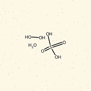 O.O=S(=O)(O)O.OO